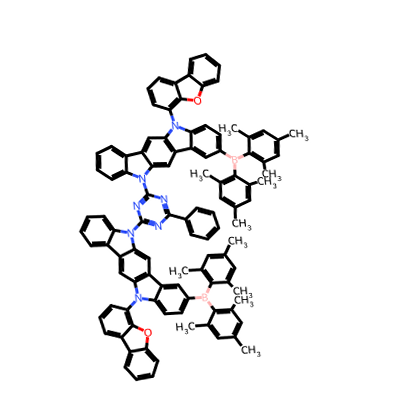 Cc1cc(C)c(B(c2ccc3c(c2)c2cc4c(cc2n3-c2cccc3c2oc2ccccc23)c2ccccc2n4-c2nc(-c3ccccc3)nc(-n3c4ccccc4c4cc5c(cc43)c3cc(B(c4c(C)cc(C)cc4C)c4c(C)cc(C)cc4C)ccc3n5-c3cccc4c3oc3ccccc34)n2)c2c(C)cc(C)cc2C)c(C)c1